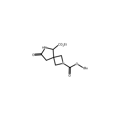 CCOC(=O)C1NC(=O)CC12CN(C(=O)OC(C)(C)C)C2